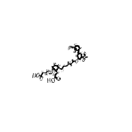 CS(=O)(=O)c1cc(OCCCCCCc2cccc(OCCCC(=O)O)c2CCC(=O)O)cc(-c2cccc(F)c2)c1